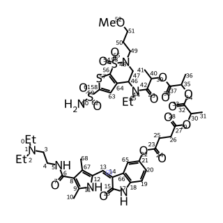 CCN(CC)CCNC(=O)c1c(C)[nH]c(/C=C2\C(=O)Nc3ccc(OC(=O)CCC(=O)OC(C)C(=O)OC(C)C(=O)OC(C)C(=O)N(CC)C4CN(CCCOC)S(=O)(=O)c5sc(S(N)(=O)=O)cc54)cc32)c1C